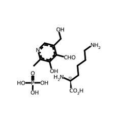 Cc1ncc(CO)c(C=O)c1O.NCCCC[C@H](N)C(=O)O.O=P(O)(O)O